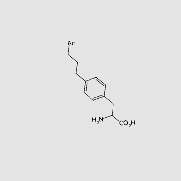 CC(=O)CCCc1ccc(CC(N)C(=O)O)cc1